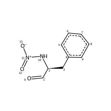 O=[C][C@H](Cc1ccccc1)N[N+](=O)[O-]